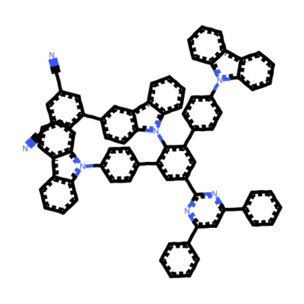 N#Cc1cc(C#N)cc(-c2ccc3c(c2)c2ccccc2n3-c2c(-c3ccc(-n4c5ccccc5c5ccccc54)cc3)cc(-c3nc(-c4ccccc4)cc(-c4ccccc4)n3)cc2-c2ccc(-n3c4ccccc4c4ccccc43)cc2)c1